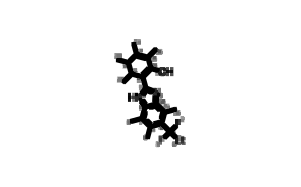 CCC(F)(F)c1c(C)c(C)c2[nH]c(C3=C(O)C(C)=C(C)C(C)C3C)nc2c1C